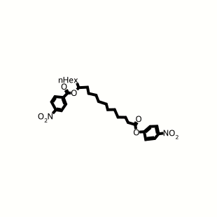 CCCCCCC(CCCCCCCCCCC(=O)Oc1ccc([N+](=O)[O-])cc1)OC(=O)c1ccc([N+](=O)[O-])cc1